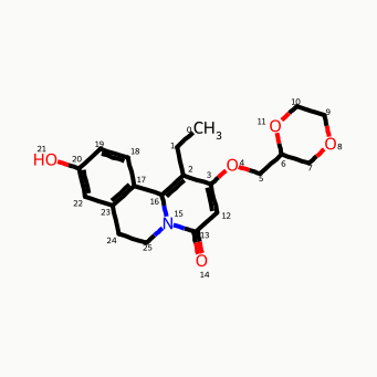 CCc1c(OCC2COCCO2)cc(=O)n2c1-c1ccc(O)cc1CC2